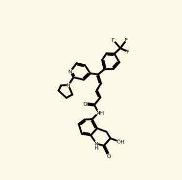 O=C(C=CC=C(c1ccc(C(F)(F)F)cc1)c1ccnc(N2CCCC2)c1)Nc1cccc2c1CC(O)C(=O)N2